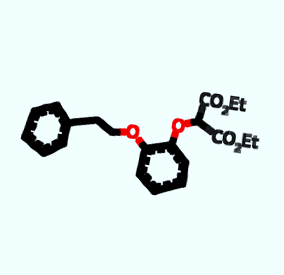 CCOC(=O)C(Oc1ccccc1OCCc1ccccc1)C(=O)OCC